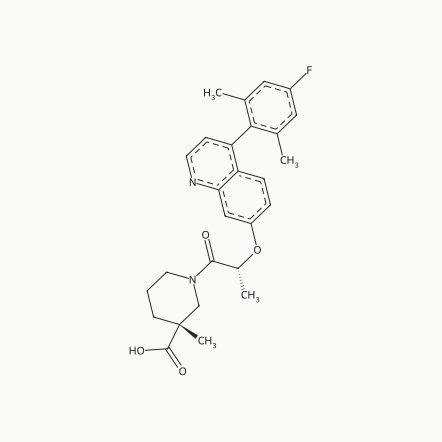 Cc1cc(F)cc(C)c1-c1ccnc2cc(O[C@H](C)C(=O)N3CCC[C@@](C)(C(=O)O)C3)ccc12